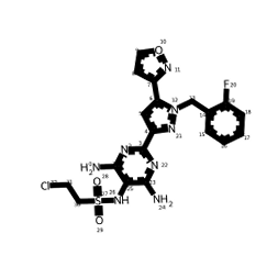 Nc1nc(-c2cc(-c3ccon3)n(Cc3ccccc3F)n2)nc(N)c1NS(=O)(=O)CCCl